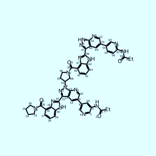 CCC(=O)Nc1cncc(-c2cnc3c(c2)c(-c2nc4c(C(=O)N5CCCC5)cccc4[nH]2)nn3C2CCN(C(=O)c3cccc4[nH]c(-c5n[nH]c6ncc(-c7ccc(NC(=O)CC)nc7)cc56)nc34)C2)c1